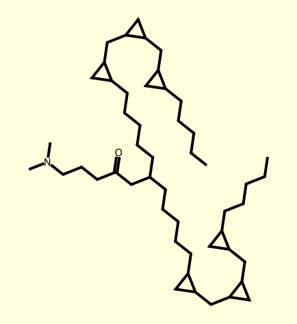 CCCCCC1CC1CC1CC1CC1CC1CCCCCC(CCCCCC1CC1CC1CC1CC1CC1CCCCC)CC(=O)CCCN(C)C